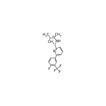 CC(C)[C@@H](C)NCc1cccc(-c2ccc(F)c(C(F)(F)F)c2)n1